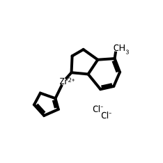 CC1=CC=CC2[CH]([Zr+2][C]3=CC=CC3)CCC12.[Cl-].[Cl-]